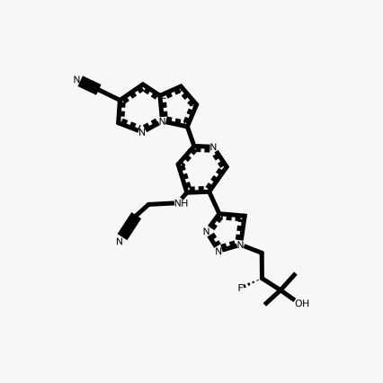 CC(C)(O)[C@H](F)Cn1cc(-c2cnc(-c3ccc4cc(C#N)cnn34)cc2NCC#N)nn1